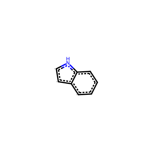 [c]1[c]c2[c]cccc2[nH]1